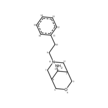 NC1C2COCC1CN(CCc1ccccc1)C2